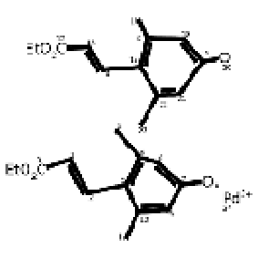 CCOC(=O)C=Cc1c(C)cc([O-])cc1C.CCOC(=O)C=Cc1c(C)cc([O-])cc1C.[Pd+2]